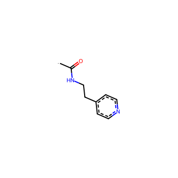 [CH2]C(=O)NCCc1ccncc1